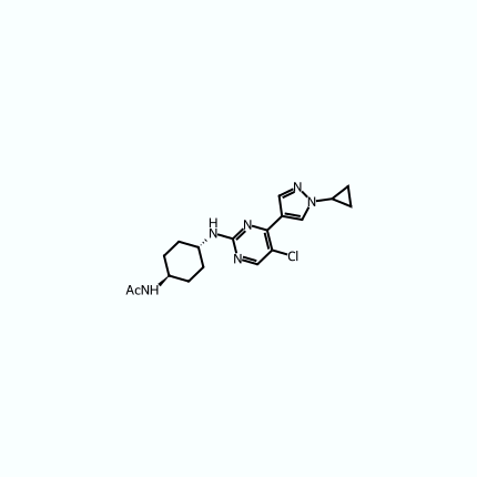 CC(=O)N[C@H]1CC[C@H](Nc2ncc(Cl)c(-c3cnn(C4CC4)c3)n2)CC1